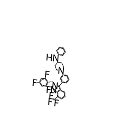 Fc1cc(F)c(Cn2nc3c(C(F)(F)F)cccc3c2-c2cccc(N3CCC(Nc4ccccc4)CC3)c2)c(F)c1